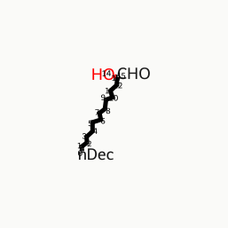 CCCCCCCCCCCCCCCCCCCCCCC(O)C=O